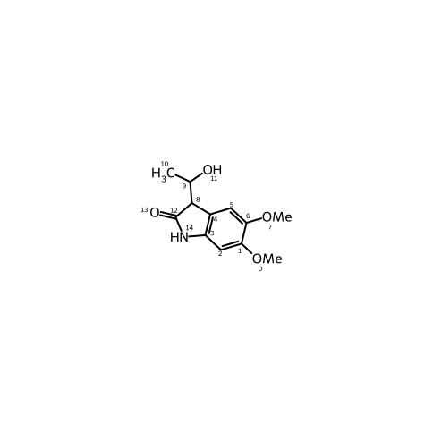 COc1cc2c(cc1OC)C(C(C)O)C(=O)N2